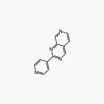 c1cc(-c2ncc3ccncc3n2)ccn1